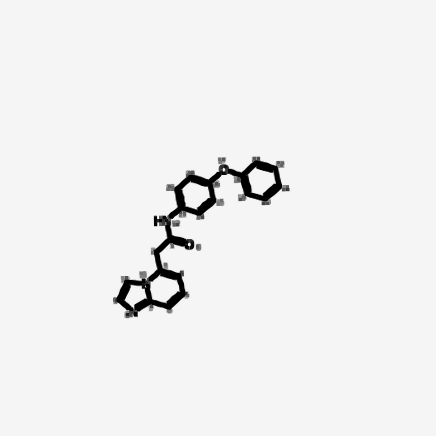 O=C(Cc1cccc2nccn12)Nc1ccc(Oc2ccccc2)cc1